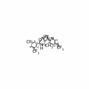 C[C@H](NC(=O)c1cc(Cl)cc(C(F)(F)F)c1)c1ncnn1-c1ccc(SC(F)(F)F)cn1